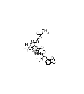 CCC(=O)OCOC(=O)[C@@H]1N2C(=O)[C@@H](NC(=O)C(N)Cc3cccc4c3OCO4)[C@H]2SC1(C)C